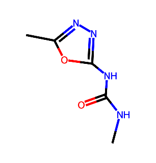 CNC(=O)Nc1nnc(C)o1